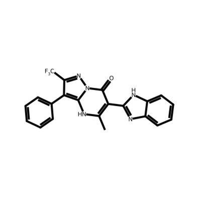 Cc1[nH]c2c(-c3ccccc3)c(C(F)(F)F)nn2c(=O)c1-c1nc2ccccc2[nH]1